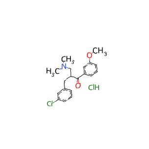 COc1cccc(C(=O)C(Cc2cccc(Cl)c2)CN(C)C)c1.Cl